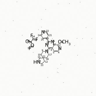 COc1nccc2c(N3CCC4(CCNC4)CC3)nc(-c3ccncc3)nc12.O=C(OF)C(F)F